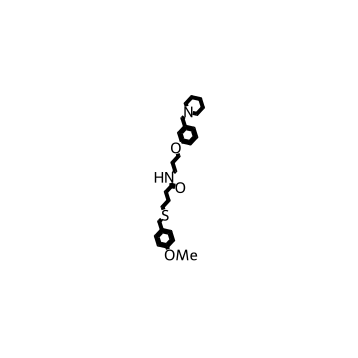 COc1ccc(CSCCCC(=O)NCCCOc2cccc(CN3CCCCC3)c2)cc1